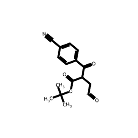 CC(C)(C)OC(=O)C(C[C]=O)C(=O)c1ccc(C#N)cc1